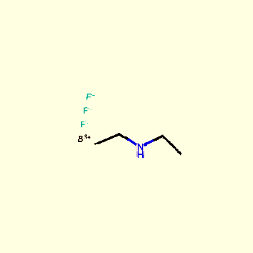 CCNCC.[B+3].[F-].[F-].[F-]